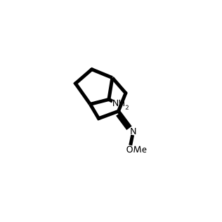 CON=C1CC2CCC(C1)C2N